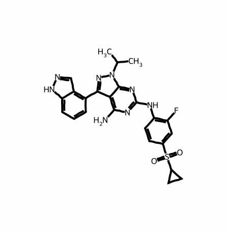 CC(C)n1nc(-c2cccc3[nH]ncc23)c2c(N)nc(Nc3ccc(S(=O)(=O)C4CC4)cc3F)nc21